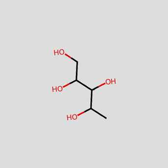 CC(O)[C](O)C(O)CO